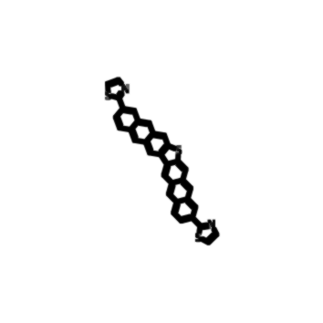 c1csc(-c2ccc3cc4cc5c(cc4cc3c2)sc2cc3cc4cc(-c6nccs6)ccc4cc3cc25)n1